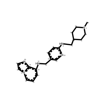 CN1CCC(CNc2ccc(CNc3cccn4ccnc34)cn2)CC1